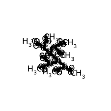 COC(=O)CCN(CCCN(CCCCN(CCCN(CCC(=O)OC)CCC(=O)OC)CCCN(CCC(=O)OC)CCC(=O)OC)CCCN(CCC(=O)OC)CCC(=O)OC)CCC(=O)OC